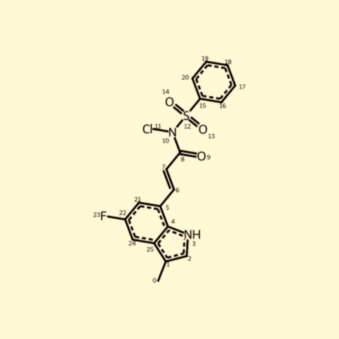 Cc1c[nH]c2c(/C=C/C(=O)N(Cl)S(=O)(=O)c3ccccc3)cc(F)cc12